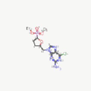 CCOP(=O)(OCC)C1CCC(Cn2cnc3c(Cl)nc(N)nc32)O1